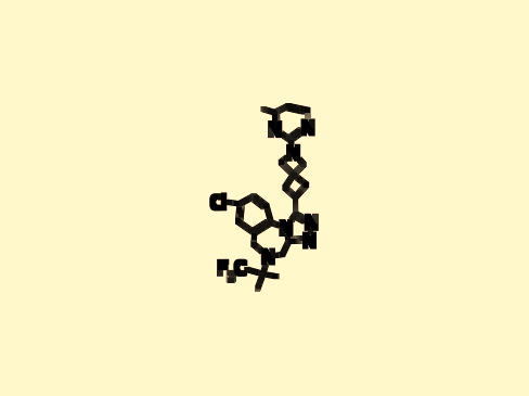 Cc1ccnc(N2CC3(CC(c4nnc5n4-c4ccc(Cl)cc4CN(C(C)(C)C(F)(F)F)C5)C3)C2)n1